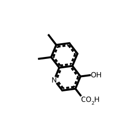 Cc1ccc2c(O)c(C(=O)O)cnc2c1C